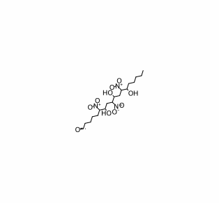 CCCCCC(O)C(CC(O)C(CC(O)C(CCCC[C]=O)[N+](=O)[O-])[N+](=O)[O-])[N+](=O)[O-]